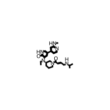 CCN(c1cc(-c2ccnc(NC)c2)c[nH]c1=O)[C@@H]1CCCN(C(=O)/C=C/CNC(C)C)C1